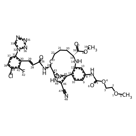 COCCOC(=O)Nc1ccc2c(c1)N[C@@H](C(=O)OC)CCCC[C@H](NC(=O)/C=C/c1c(-n3cnnn3)ccc(Cl)c1F)c1nc-2c(C#N)[nH]1